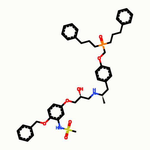 C[C@@H](Cc1ccc(OCP(=O)(CCCc2ccccc2)CCCc2ccccc2)cc1)NC[C@@H](O)COc1ccc(OCc2ccccc2)c(NS(C)(=O)=O)c1